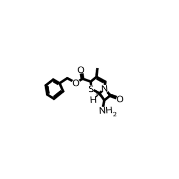 CC1=CN2C(=O)C(N)[C@H]2SC1C(=O)OCc1ccccc1